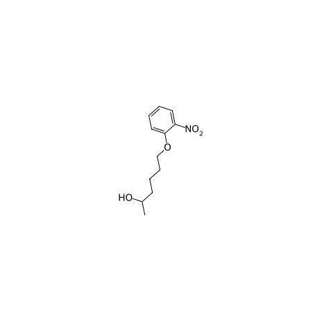 CC(O)CCCCOc1ccccc1[N+](=O)[O-]